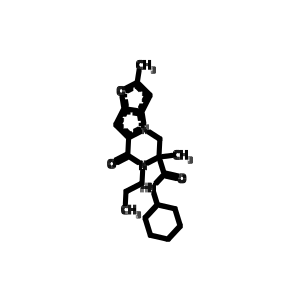 CCCN1C(=O)c2cc3oc(C)cc3n2CC1(C)C(=O)NC1CCCCC1